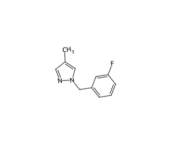 Cc1cnn(Cc2cccc(F)c2)c1